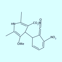 COC1=C(C)NC(C)=C(C(=O)O)C1C1C=CC=C([N+](=O)[O-])C1=C=O